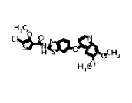 COc1cc2nccc(Oc3ccc4nc(NC(=O)c5csc(Cl)c5OC)sc4c3)c2cc1OC